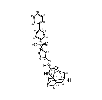 O=C(NCC1CCN(S(=O)(=O)c2ccc(-c3ccccc3)cc2)C1)NC12CCC[C@@H]3CC(CC1C3)C2